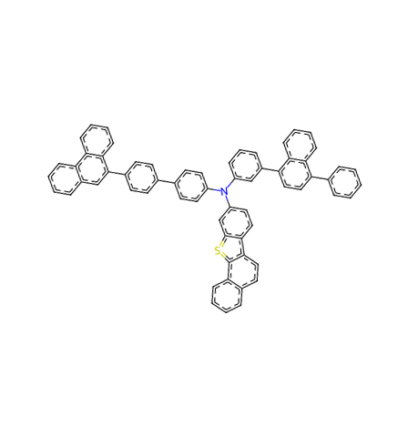 c1ccc(-c2ccc(-c3cccc(N(c4ccc(-c5ccc(-c6cc7ccccc7c7ccccc67)cc5)cc4)c4ccc5c(c4)sc4c6ccccc6ccc54)c3)c3ccccc23)cc1